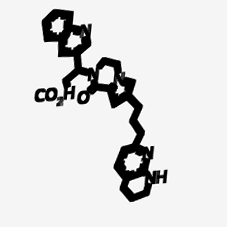 O=C(O)CC(c1cnc2ccccc2c1)N1CCn2cc(CCCc3ccc4c(n3)NCCC4)cc2C1=O